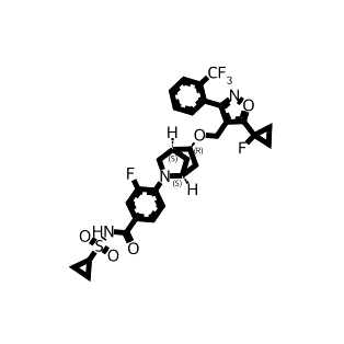 O=C(NS(=O)(=O)C1CC1)c1ccc(N2C[C@@H]3C[C@H]2C[C@H]3OCc2c(-c3ccccc3C(F)(F)F)noc2C2(F)CC2)c(F)c1